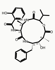 CC(C)C1OC(=O)[C@H](C)[C@H](O)[C@H](Cc2ccccc2)NC(=O)[C@@H](NC(=O)c2ncccc2O)[C@@H](C)NC1=O